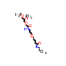 CCCNC(=O)CCCCOCCCNC(=O)COCC(COC)OC